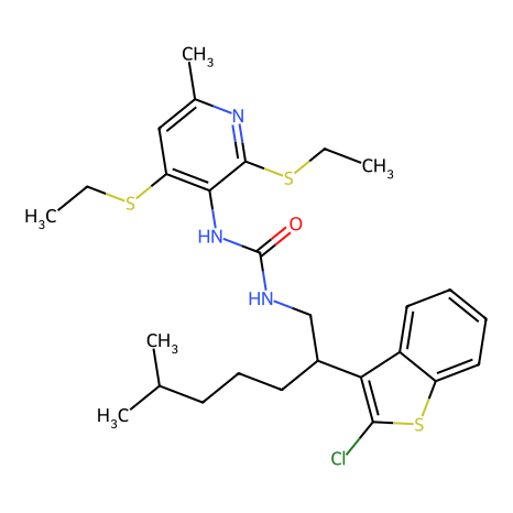 CCSc1cc(C)nc(SCC)c1NC(=O)NCC(CCCC(C)C)c1c(Cl)sc2ccccc12